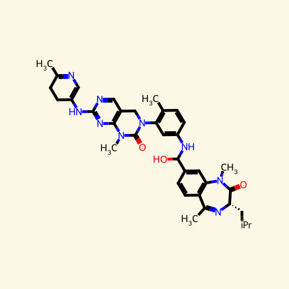 CC1=NC=C(Nc2ncc3c(n2)N(C)C(=O)N(c2cc(NC(O)c4ccc5c(c4)N(C)C(=O)[C@H](CC(C)C)N=C5C)ccc2C)C3)CC1